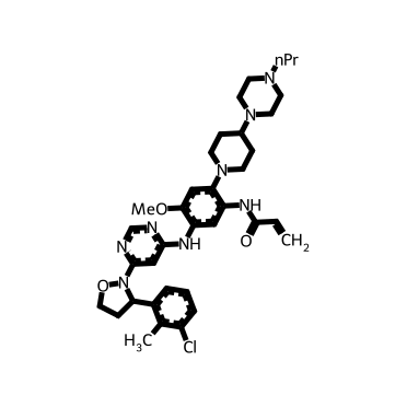 C=CC(=O)Nc1cc(Nc2cc(N3OCCC3c3cccc(Cl)c3C)ncn2)c(OC)cc1N1CCC(N2CCN(CCC)CC2)CC1